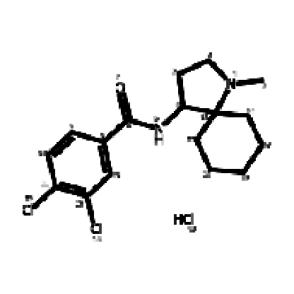 CN1CCC(NC(=O)c2ccc(Cl)c(Cl)c2)C12CCCCC2.Cl